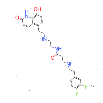 O=C(CCNCCc1ccc(F)c(F)c1)NCCNCCc1ccc(O)c2[nH]c(=O)ccc12